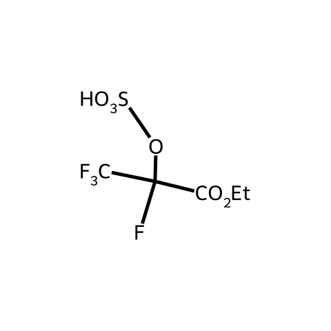 CCOC(=O)C(F)(OS(=O)(=O)O)C(F)(F)F